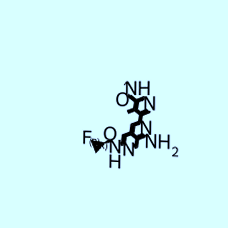 CNC(=O)c1cncc(-c2cc3cc(NC(=O)[C@H]4C[C@H]4F)ncc3c(N)n2)c1C